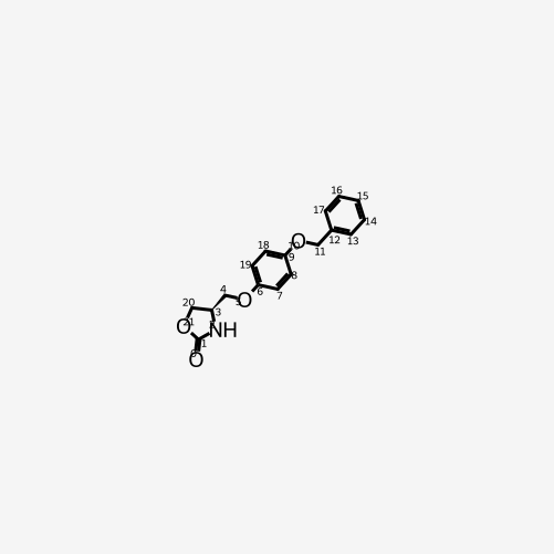 O=C1N[C@H](COc2ccc(OCc3ccccc3)cc2)CO1